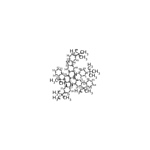 CC(C)(C)c1ccc(N2B3c4cc5c(cc4-n4c6ccc(C(C)(C)C)cc6c6c7c(c(c3c64)-c3cc4sc6ccc(C(C)(C)C)cc6c4cc32)-c2ccccc2C7(C)C)C(C)(C)c2ccccc2-5)cc1